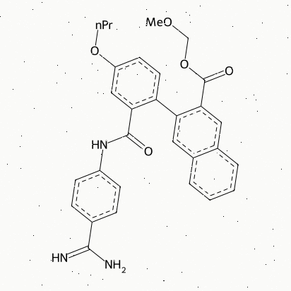 CCCOc1ccc(-c2cc3ccccc3cc2C(=O)OCOC)c(C(=O)Nc2ccc(C(=N)N)cc2)c1